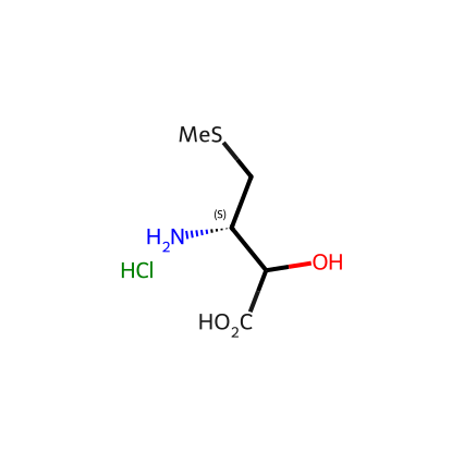 CSC[C@@H](N)C(O)C(=O)O.Cl